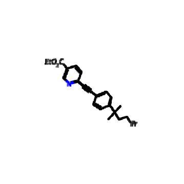 CCOC(=O)c1ccc(C#Cc2ccc(C(C)(C)CCC(C)C)cc2)nc1